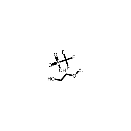 CCOCCO.O=S(=O)(O)C(F)(F)F